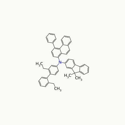 CCc1ccccc1-c1ccc(N(c2ccc3c(c2)C(C)(C)c2ccccc2-3)c2ccc(-c3ccccc3)c3c2ccc2ccccc23)cc1CC